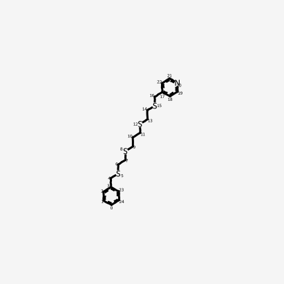 c1ccc(CSCCSCCCSCCSCc2ccncc2)cc1